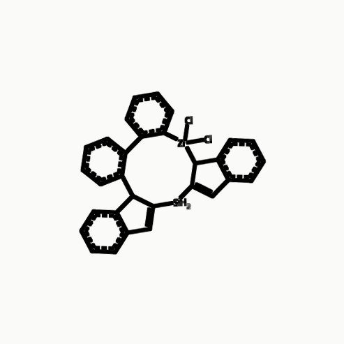 [Cl][Zr]1([Cl])[c]2ccccc2-c2ccccc2C2C(=Cc3ccccc32)[SiH2]C2=Cc3ccccc3[CH]21